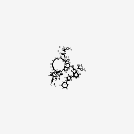 CC#CC1(S(=O)(=O)NC(=O)[C@@]23C[C@H]2/C=C\CCCCC[C@H](NC(=O)OC(C)(C)C)C(=O)N2C[C@H](Oc4nc5c(-c6nc(C7CCCCC7)cs6)cccc5n4C(C)C)C[C@H]2C(=O)N3)CC1